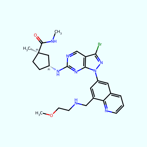 CNC(=O)[C@]1(C)CC[C@@H](Nc2ncc3c(Br)nn(-c4cc(CNCCOC)c5ncccc5c4)c3n2)C1